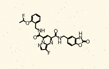 CC(F)Oc1ccccc1CNC(=O)c1cc(C(=O)NCc2ccc3oc(=O)[nH]c3c2)nc2c(F)cnn12